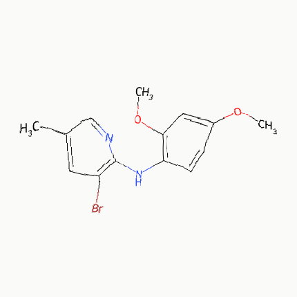 COc1ccc(Nc2ncc(C)cc2Br)c(OC)c1